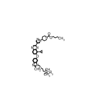 CCCCOC(=O)N1CCC(n2cc(-c3cnc4ccc(Oc5ccc6nc(C)n(COCC[Si](C)(C)C)c6c5)c(C5CC5)c4n3)cn2)CC1